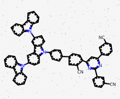 N#Cc1cccc(-c2cc(-c3ccc(-c4ccc(-n5c6ccc(-n7c8ccccc8c8ccccc87)cc6c6cc(-n7c8ccccc8c8ccccc87)ccc65)cc4)cc3C#N)nc(-c3cccc(C#N)c3)n2)c1